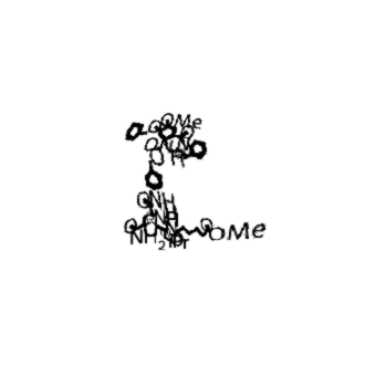 COC(=O)CCCCC(=O)N[C@@H](CC(C)C)C(=O)N[C@@H](CCC(N)=O)C(=O)Nc1ccc(COC(=O)N2C[C@@H]3Cc4ccccc4N3C(=O)c3cc(OC)c(OCc4ccccc4)cc32)cc1